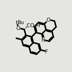 Cc1cc2ccc(F)cc2c(-c2ccc3c4c(ccnc24)CCO3)c1[C@H](OC(C)(C)C)C(=O)O